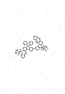 CC1(C)c2ccccc2Sc2c1ccc1c2-c2ccc(-c3ccc4c(c3)-c3c(ccc5c3Oc3ccccc3S5)C4(C)C)cc2C1(c1ccccc1)c1ccccc1